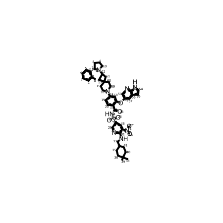 Cc1ccccc1[C@@H]1CCCN1C1CC2(CCN(c3ccc(C(=O)NS(=O)(=O)c4cnc(NCC5CCC(C)(C)CC5)c([N+](=O)[O-])c4)c(Oc4cnc5[nH]ccc5c4)c3)CC2)C1